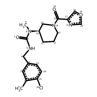 Cc1cc(CNC(=O)N(C)[C@@H]2CCCN(C(=O)c3cocn3)C2)ccc1Cl